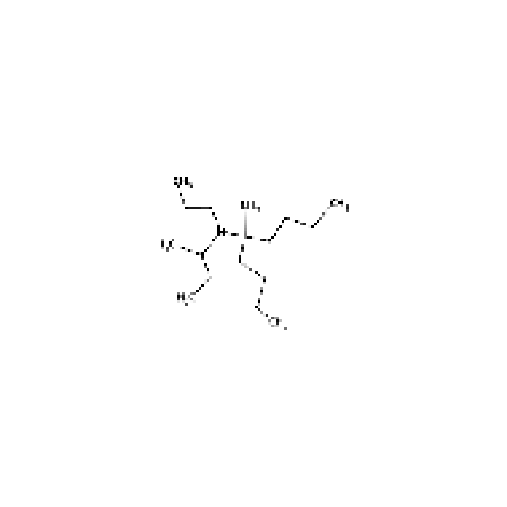 CCCCC(C)(CCCC)N(CCC)C(C)CC